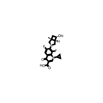 C[C@@]12C[C@H](O)[C@@H]1CN(c1c(F)cc3c(=O)c(C(=O)O)cn(C4CC4)c3c1F)C2